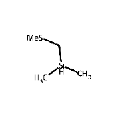 CSC[SiH](C)C